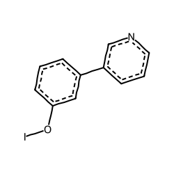 IOc1cccc(-c2cccnc2)c1